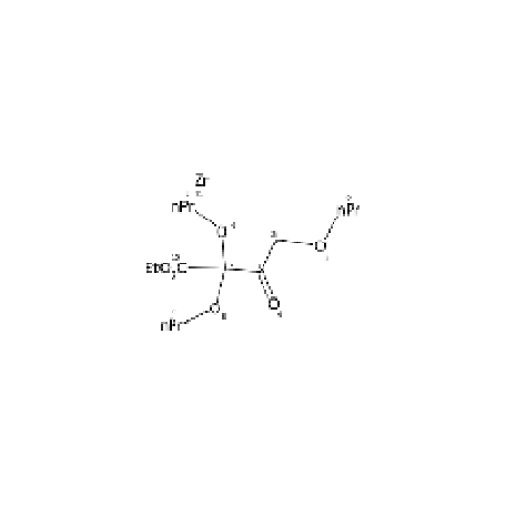 CCCOCC(=O)C(OCCC)(OCCC)C(=O)OCC.[Zr]